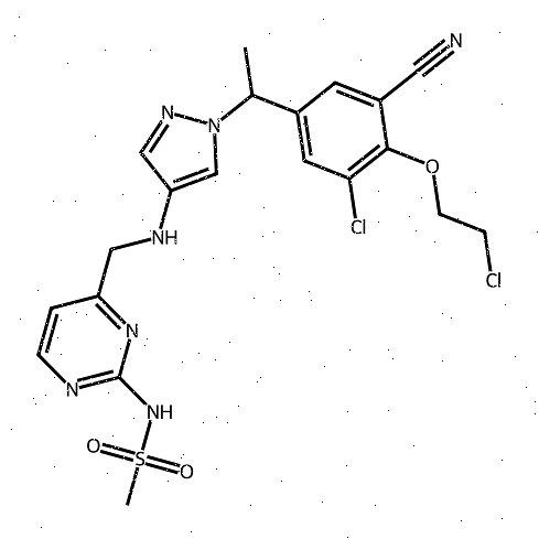 CC(c1cc(Cl)c(OCCCl)c(C#N)c1)n1cc(NCc2ccnc(NS(C)(=O)=O)n2)cn1